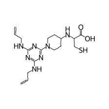 C=CCNc1nc(NCC=C)nc(N2CCC(NC(CS)C(=O)O)CC2)n1